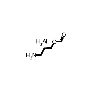 NCCCOC=O.[AlH3]